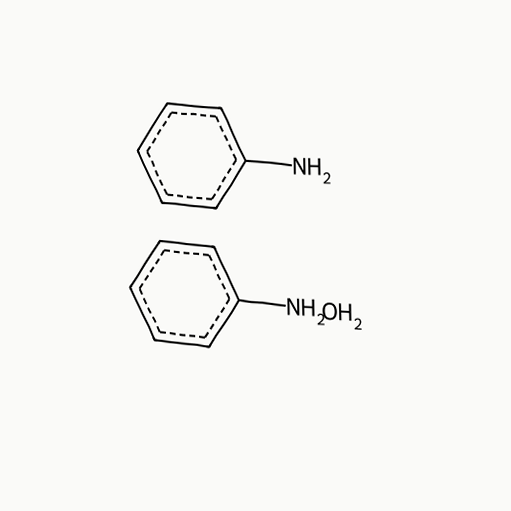 Nc1ccccc1.Nc1ccccc1.O